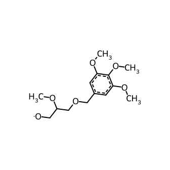 COc1cc(COCC(C[O])OC)cc(OC)c1OC